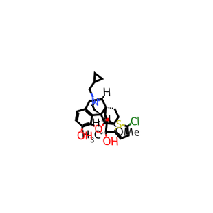 CO[C@]12CC[C@@]3(C[C@@H]1[C@](C)(O)c1ccc(Cl)s1)[C@H]1Cc4ccc(O)c5c4[C@@]3(CCN1CC1CC1)[C@H]2O5